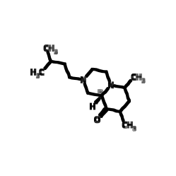 CC(C)CCN1CCN2C(C)CC(C)C(=O)[C@@H]2C1